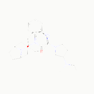 CCOC(=O)CN(C)C1CCN(c2nc3ccccc3n(C3CC4CC[C@@H](C3)N4C3CCCCCCC3)c2=O)C1